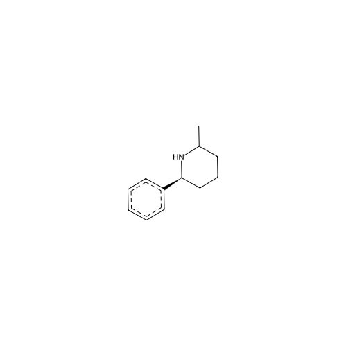 CC1CCC[C@@H](c2ccccc2)N1